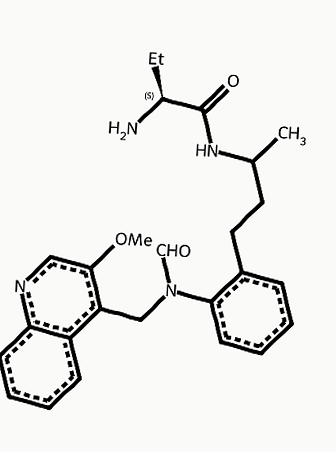 CC[C@H](N)C(=O)NC(C)CCc1ccccc1N(C=O)Cc1c(OC)cnc2ccccc12